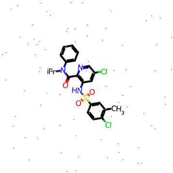 Cc1cc(S(=O)(=O)Nc2cc(Cl)cnc2C(=O)N(c2ccccc2)C(C)C)ccc1Cl